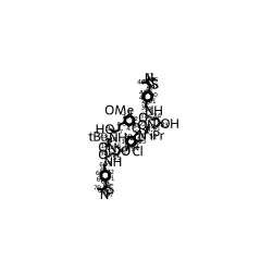 COc1cccc(CCC(O)N[C@H](C(=O)N2C[C@H](Oc3ccc4c(c3Cl)CN([C@H](C(=O)N3C[C@H](O)C[C@H]3C(=O)NCc3ccc(-c5scnc5C)cc3)C(C)C)C4=O)C[C@H]2C(=O)NCc2ccc(-c3scnc3C)cc2)C(C)(C)C)c1